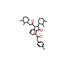 Cc1ccc(CC(=O)C2C3C=CC4(O3)C2C(=O)C(C2CCCC(C)C2C)C4C(=O)CC2CCCC(C)C2C)cc1